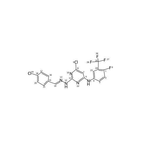 Fc1ccc(Nc2cc(Cl)nc(N/N=C/c3ccc(Cl)cc3)n2)cc1C(F)(F)F